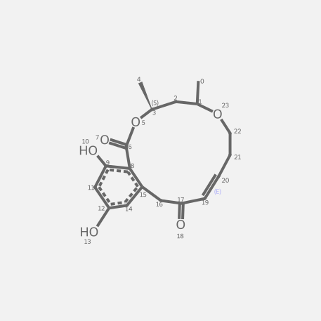 CC1C[C@H](C)OC(=O)c2c(O)cc(O)cc2CC(=O)/C=C/CCO1